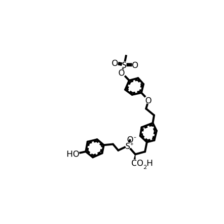 CS(=O)(=O)Oc1ccc(OCCc2ccc(C[C@@H](C(=O)O)[S+]([O-])CCc3ccc(O)cc3)cc2)cc1